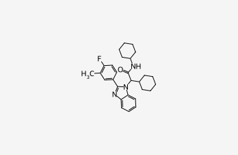 Cc1cc(-c2nc3ccccc3n2C(C(=O)NC2CCCCC2)C2CCCCC2)ccc1F